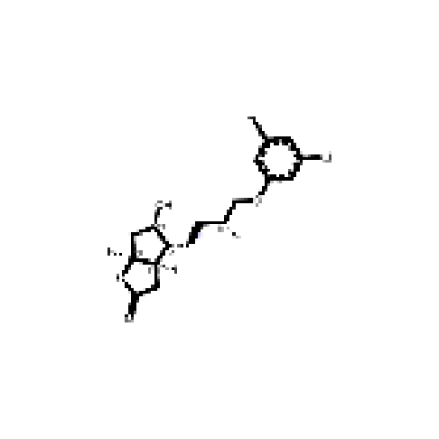 O=C1C[C@@H]2[C@@H](/C=C/[C@@H](F)COc3cc(Cl)cc(Cl)c3)[C@H](O)C[C@@H]2O1